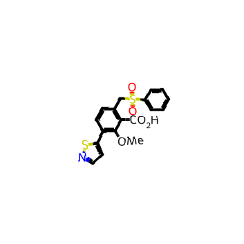 COc1c(-c2ccns2)ccc(CS(=O)(=O)c2ccccc2)c1C(=O)O